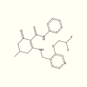 CC1CC(=O)C(C(=S)Nc2ccccc2)=C(NCc2ccncc2OCC(F)F)C1